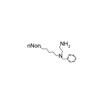 CCCCCCCCCCCCCCN(CCN)Cc1ccccc1